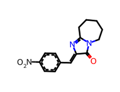 O=C1C(=Cc2ccc([N+](=O)[O-])cc2)N=C2CCCCCN12